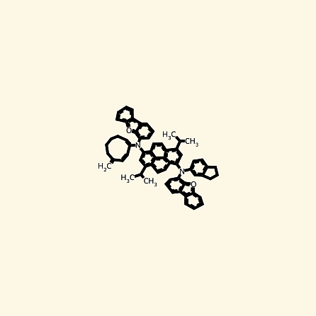 C=C1/C=C\C(N(c2cc(C(C)C)c3ccc4c(N(c5ccc6c(c5)CCC6)c5cccc6c5oc5ccccc56)cc(C(C)C)c5ccc2c3c54)c2cccc3c2oc2ccccc23)=C/CCCC1